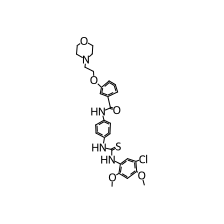 COc1cc(OC)c(NC(=S)Nc2ccc(NC(=O)c3cccc(OCCN4CCOCC4)c3)cc2)cc1Cl